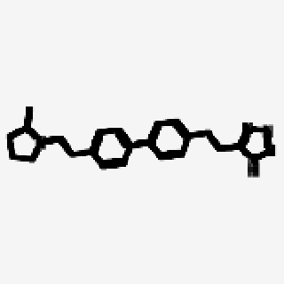 CC1CCCN1CCc1ccc(-c2ccc(CCc3nnn[nH]3)cc2)cc1